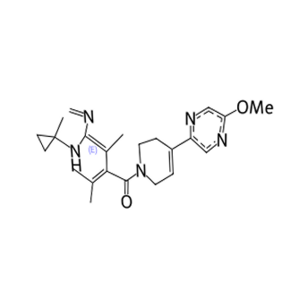 C=N/C(NC1(C)CC1)=C(\C)C(C(=O)N1CC=C(c2cnc(OC)cn2)CC1)=C(C)C